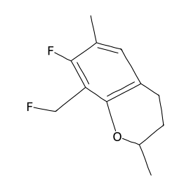 Cc1cc2c(c(CF)c1F)OC(C)CC2